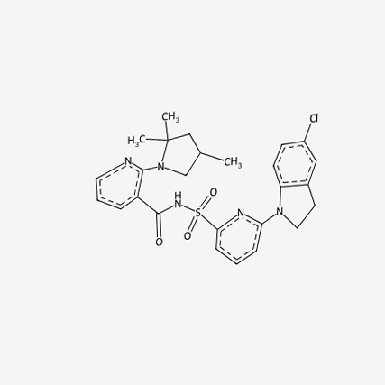 CC1CN(c2ncccc2C(=O)NS(=O)(=O)c2cccc(N3CCc4cc(Cl)ccc43)n2)C(C)(C)C1